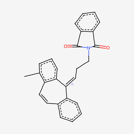 Cc1cccc2c1C=Cc1ccccc1/C2=C/CCN1C(=O)c2ccccc2C1=O